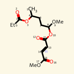 CCC(=O)OC(C)CCC(OC)OC(=O)/C=C/C(=O)OC